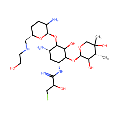 C[C@@H]1C(O)[C@@H](OC2C(O)C(O[C@H]3O[C@H](CNCCO)CCC3N)[C@@H](N)C[C@H]2NC(=N)C(O)CF)OCC1(C)O